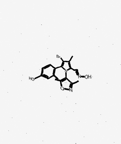 Cc1cc(O)ccc1-c1c(Br)c(C)c(C=NO)n1-c1c(C)noc1C